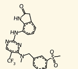 CN(Cc1cccc(S(C)(=O)=O)c1)c1nc(Nc2cccc3c2NC(=O)C3)ncc1C(F)(F)F